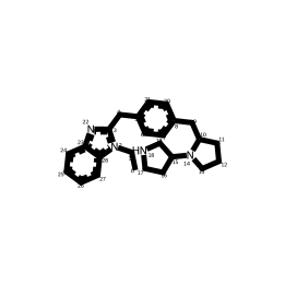 CCn1c(Cc2ccc(CC3CCCN3C3CCNC3)cc2)nc2ccccc21